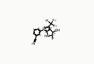 N#Cc1cccc(-n2nc(C(F)(F)F)c3c2NC(F)C3O)c1